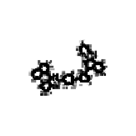 c1cc(-c2ccc(-c3nc(-c4cccc5ccccc45)c4ccccc4n3)cc2)cc(-c2nc3c(nc4ccccn43)c3ccccc23)c1